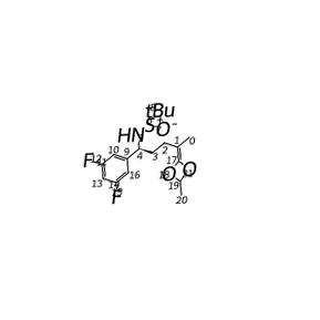 CC(CC[C@H](N[S@@+]([O-])C(C)(C)C)c1cc(F)cc(F)c1)=C1OC(C)O1